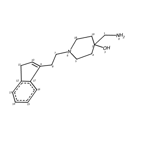 NCC1(O)CCN(CCC2=CCc3ccccc32)CC1